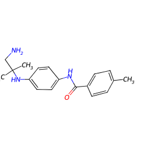 Cc1ccc(C(=O)Nc2ccc(NC(C)(C)CN)cc2)cc1